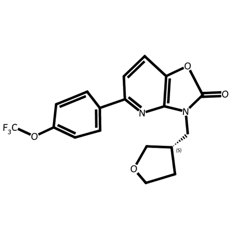 O=c1oc2ccc(-c3ccc(OC(F)(F)F)cc3)nc2n1C[C@@H]1CCOC1